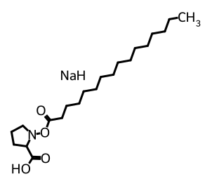 CCCCCCCCCCCCCCCC(=O)ON1CCCC1C(=O)O.[NaH]